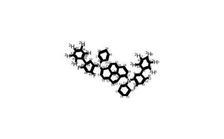 [2H]c1c([2H])c([2H])c(-c2cc(N(c3ccccc3)c3ccc4ccc5c(N(c6ccccc6)c6cc(-c7c([2H])c([2H])c([2H])c([2H])c7[2H])c(F)cc6F)ccc6ccc3c4c65)c(F)cc2F)c([2H])c1[2H]